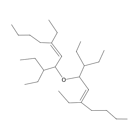 CCCCC(=CC(OC(C=C(CC)CCCC)C(CC)CC)C(CC)CC)CC